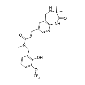 CN(Cc1cccc(OC(F)(F)F)c1O)C(=O)/C=C/c1cnc2c(c1)CNC(C)(C)C(=O)N2